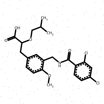 COc1ccc(CC(OCC(C)C)C(=O)O)cc1CNC(=O)c1ccc(Cl)cc1Cl